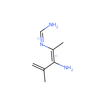 C=C(C)/C(N)=C(C)\N=C/N